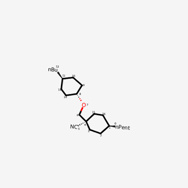 CCCCC[C@H]1CC[C@@](C#N)(CO[C@H]2CC[C@H](CCCC)CC2)CC1